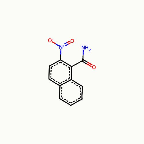 NC(=O)c1c([N+](=O)[O-])ccc2ccccc12